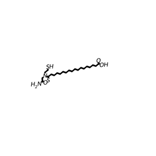 NC(=O)CN(CCS)C(=S)CCCCCCCCCCCCCCCCC(=O)O